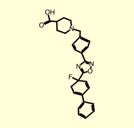 O=C(O)C1CCN(Cc2ccc(-c3noc(C4(F)C=CC(c5ccccc5)=CC4)n3)cc2)CC1